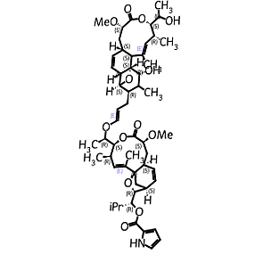 CO[C@H]1C[C@H]2C=C[C@H]3[C@H]4O[C@]2(/C(C)=C/[C@@H](C)[C@@H]([C@@H](C)O)OC1=O)[C@@H]3[C@H](O)C(C)[C@H]4C/C=C/O[C@H](C)[C@H]1OC(=O)[C@@H](OC)C[C@H]2C=C[C@@H]3C[C@]2(O[C@H]3[C@H](OC(=O)c2ccc[nH]2)C(C)C)/C(C)=C/[C@H]1C